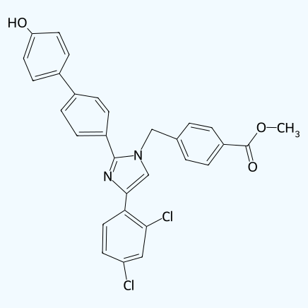 COC(=O)c1ccc(Cn2cc(-c3ccc(Cl)cc3Cl)nc2-c2ccc(-c3ccc(O)cc3)cc2)cc1